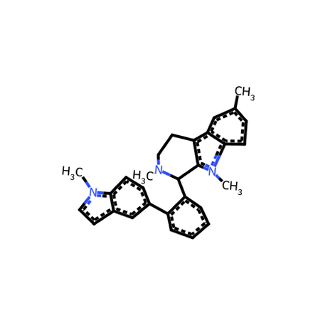 Cc1ccc2c(c1)c1c(n2C)C(c2ccccc2-c2ccc3c(ccn3C)c2)N(C)CC1